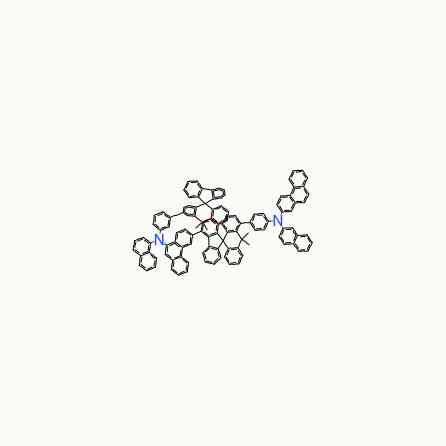 CC1(C)c2ccccc2C2(c3ccccc3-c3ccccc32)c2ccc(-c3cccc(N(c4cccc5ccccc45)c4cc5ccccc5c5cc(-c6cccc7c6-c6ccccc6C76c7ccccc7C(C)(C)c7c(-c8ccc(N(c9ccc%10ccccc%10c9)c9ccc%10c(ccc%11ccccc%11%10)c9)cc8)cccc76)ccc45)c3)cc21